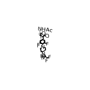 CC(=O)NC[C@H]1CN(c2cc(F)c(N3CCC(n4cc(C(F)F)nn4)CC3)c(F)c2)C(=O)O1